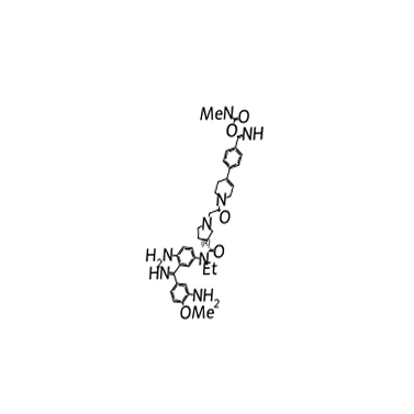 CCN(C(=O)[C@@H]1CCN(CC(=O)N2CC=C(c3ccc(C(=N)OC(=O)NC)cc3)CC2)C1)c1ccc(N)c(C(=N)c2ccc(OC)c(N)c2)c1